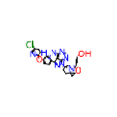 Nc1ncnc2c1c(-c1ccc(Oc3ccc(Cl)cn3)cc1)nn2[C@@H]1CCC2(CC2)N(C(=O)C#CCO)C1